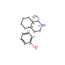 C[C@@]12CCCC[C@]1(c1cccc(O)c1)CCNC2